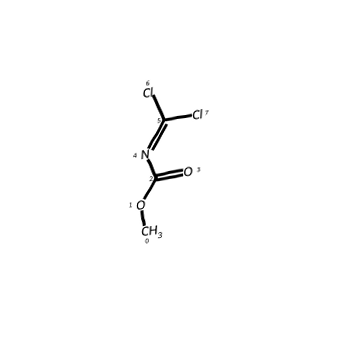 COC(=O)N=C(Cl)Cl